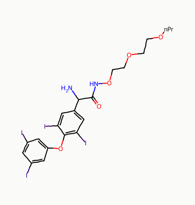 CCCOCCOCCONC(=O)C(N)c1cc(I)c(Oc2cc(I)cc(I)c2)c(I)c1